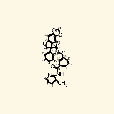 Cc1cccnc1NC(=O)c1cccc(CN2C(=O)C3(COc4cc5c(cc43)OCO5)c3ccccc32)c1